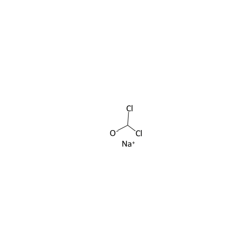 [Na+].[O-]C(Cl)Cl